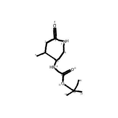 CC1CC(=O)NCC1NC(=O)OC(C)(C)C